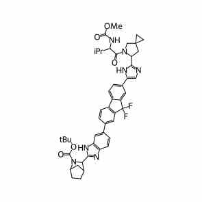 COC(=O)NC(C(=O)N1CC2(CC2)CC1c1ncc(-c2ccc3c(c2)C(F)(F)c2cc(-c4ccc5nc(C6C7CCC(C7)N6C(=O)OC(C)(C)C)[nH]c5c4)ccc2-3)[nH]1)C(C)C